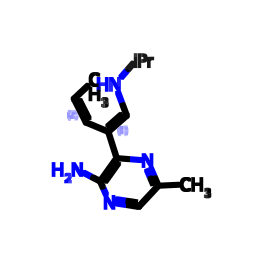 C/C=C\C(=C/NC(C)C)c1nc(C)cnc1N